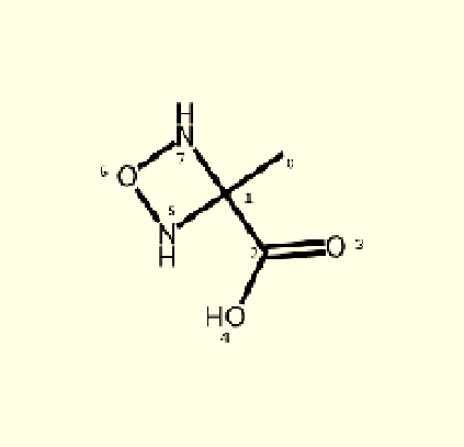 CC1(C(=O)O)NON1